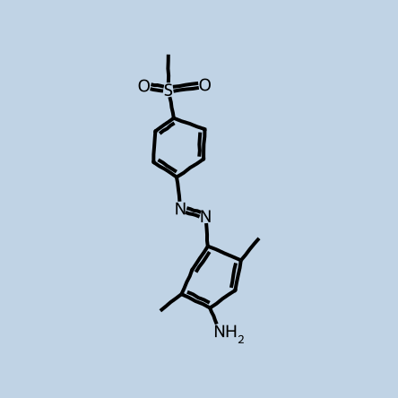 Cc1cc(N=Nc2ccc(S(C)(=O)=O)cc2)c(C)cc1N